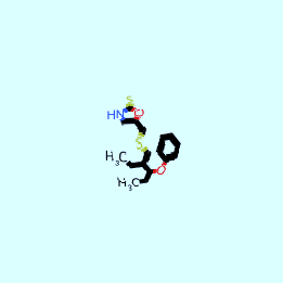 CCC(CSCc1c[nH]c(=S)o1)C(CC)Oc1ccccc1